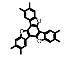 Cc1cc2oc3c(c2cc1C)c1oc2cc(C)c(C)cc2c1c1oc2cc(C)c(C)cc2c31